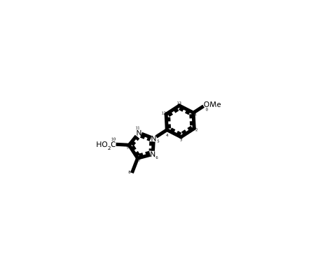 COc1ccc(-n2nc(C)c(C(=O)O)n2)cc1